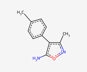 Cc1ccc(-c2c(C)noc2N)cc1